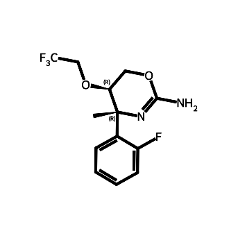 C[C@]1(c2ccccc2F)N=C(N)OC[C@@H]1OCC(F)(F)F